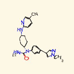 CCNC(=O)N(c1ccc(-c2cnn(C)c2)cc1)[C@H]1CC[C@H](Nc2ccc(C#N)cn2)CC1